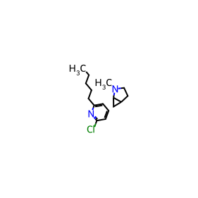 CCCCCc1cccc(Cl)n1.CN1CCC2CC21